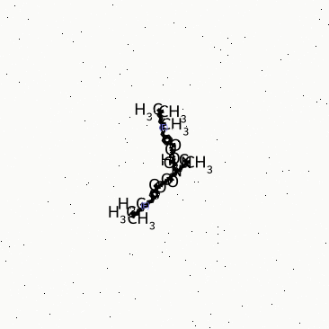 CC(C)=CCC/C(C)=C/CCC1=CCC(C(=O)OCCOC(=O)CCN(CCCN(C)C)CCC(=O)OCCOC(=O)C2CC=C(CC/C=C(\C)CCC=C(C)C)CC2)CC1